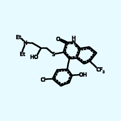 CCN(CC)CC(O)CSc1c(-c2cc(Cl)ccc2O)c2cc(C(F)(F)F)ccc2[nH]c1=O